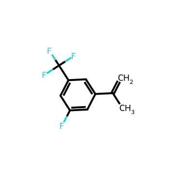 C=C(C)c1cc(F)cc(C(F)(F)F)c1